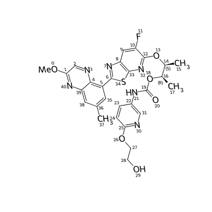 COc1cnc2c(-c3nc4cc(F)c(O[C@@H](C)[C@@H](C)OC(=O)Nc5ccc(OCCO)nc5)nc4s3)cc(C)cc2n1